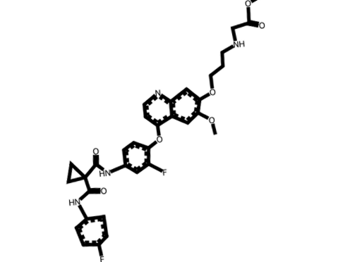 COC(=O)CNCCCOc1cc2nccc(Oc3ccc(NC(=O)C4(C(=O)Nc5ccc(F)cc5)CC4)cc3F)c2cc1OC